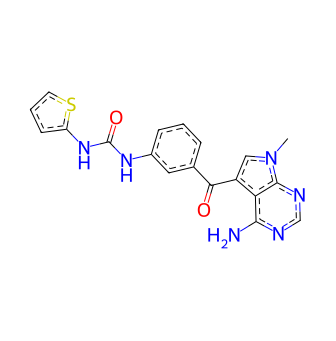 Cn1cc(C(=O)c2cccc(NC(=O)Nc3cccs3)c2)c2c(N)ncnc21